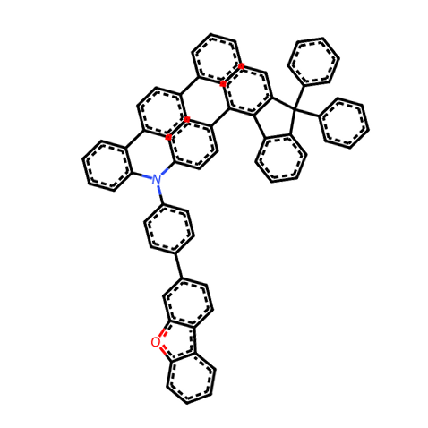 c1ccc(-c2ccc(-c3ccccc3N(c3ccc(-c4ccc5c(c4)oc4ccccc45)cc3)c3ccc(-c4cccc5c4-c4ccccc4C5(c4ccccc4)c4ccccc4)cc3)cc2)cc1